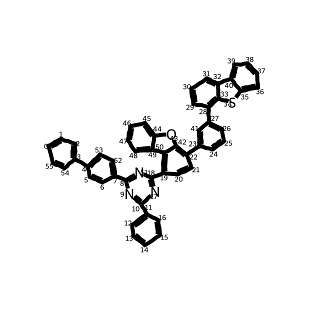 c1ccc(-c2ccc(-c3nc(-c4ccccc4)nc(-c4ccc(-c5cccc(-c6cccc7c6sc6ccccc67)c5)c5oc6ccccc6c45)n3)cc2)cc1